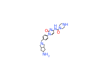 NC1CC2CN(Cc3ccc(-n4ccc(NC(=O)N5CCNCC5)nc4=O)cc3)CC2C1